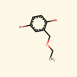 [CH2]COCc1cc(Br)ccc1Br